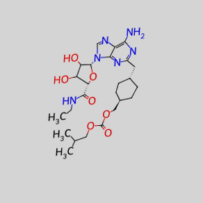 CCNC(=O)[C@H]1O[C@@H](n2cnc3c(N)nc(C[C@H]4CC[C@H](COC(=O)OCC(C)C)CC4)nc32)C(O)C1O